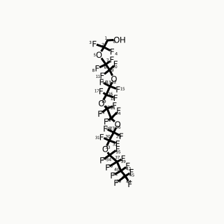 OCC(F)(F)OC(F)(F)C(F)(F)OC(F)(F)C(F)(F)OC(F)(F)C(F)(F)OC(F)(F)C(F)(F)OC(F)(F)C(F)(F)C(F)(F)C(F)(F)F